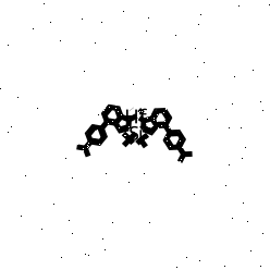 CC(C)c1ccc(-c2cccc3c2C=C2[CH]3[Hf]([CH3])([CH3])[CH]3C(=Cc4c(-c5ccc(C(C)C)cc5)cccc43)[Si]2(C(C)(C)C)C(C)(C)C)cc1